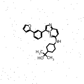 CC(C)(O)C1CCC(Nc2ccc3ncc(-c4cccc(-c5ccco5)c4)n3n2)CC1